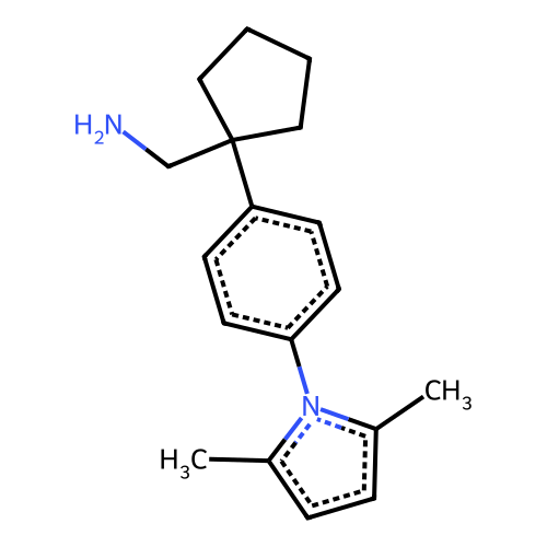 Cc1ccc(C)n1-c1ccc(C2(CN)CCCC2)cc1